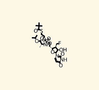 CC(C)OC(=O)[C@@H](C)NP(=O)(OCCSC(=O)C(C)(C)C)OC[C@H]1O[C@@H](n2ccc(=O)[nH]c2=O)[C@H](O)[C@@H]1CF